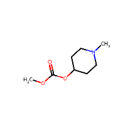 [CH2]OC(=O)OC1CCN(C)CC1